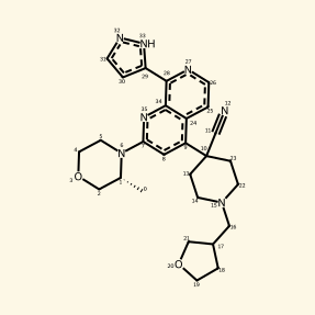 C[C@@H]1COCCN1c1cc(C2(C#N)CCN(CC3CCOC3)CC2)c2ccnc(-c3ccn[nH]3)c2n1